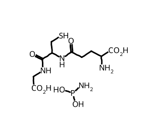 NC(CCC(=O)NC(CS)C(=O)NCC(=O)O)C(=O)O.NP(O)O